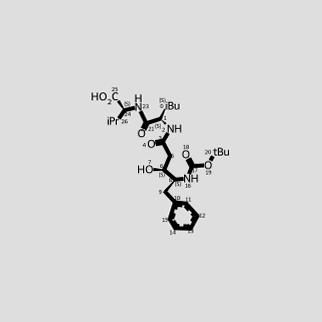 CC[C@H](C)[C@H](NC(=O)C[C@H](O)[C@H](Cc1ccccc1)NC(=O)OC(C)(C)C)C(=O)N[C@H](C(=O)O)C(C)C